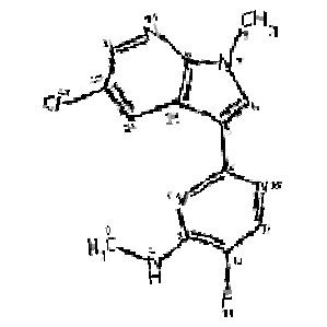 CNc1nc(-c2cn(C)c3ncc(Cl)cc23)ncc1F